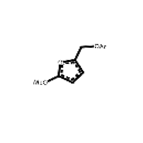 COc1ccc(COC(C)=O)o1